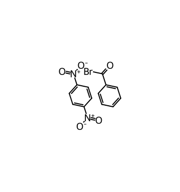 O=C(Br)c1ccccc1.O=[N+]([O-])c1ccc([N+](=O)[O-])cc1